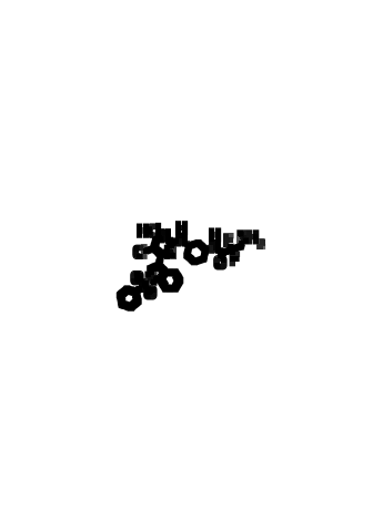 Cl.NCC(F)(F)C(=O)N[C@H]1CCC[C@@H](Nc2ncc(Cl)c(-c3cn(S(=O)(=O)c4ccccc4)c4ccccc34)n2)C1